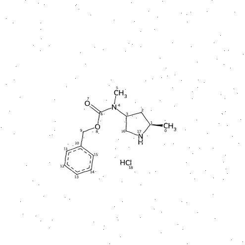 C[C@@H]1CC(N(C)C(=O)OCc2ccccc2)CN1.Cl